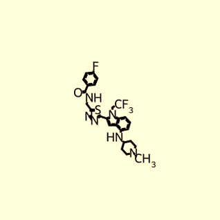 CN1CCC(Nc2cccc3c2cc(-c2nnc(CNC(=O)c4ccc(F)cc4)s2)n3CC(F)(F)F)CC1